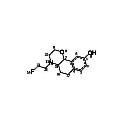 Oc1ccc2c(c1)C1OCCN(CCF)C1CC2